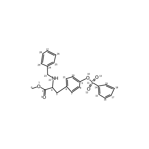 COC(=O)C(Cc1ccc(OS(=O)(=O)c2ccccc2)cc1)NCc1ccccc1